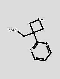 COCC1(c2ncccn2)CNC1